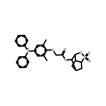 Cc1cc([SH](c2ccccc2)c2ccccc2)cc(C)c1OCC(=O)OC1C2CC3C1OS(=O)(=O)C3C2